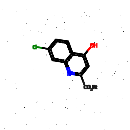 CCOC(=O)c1cc(O)c2ccc(Cl)cc2n1